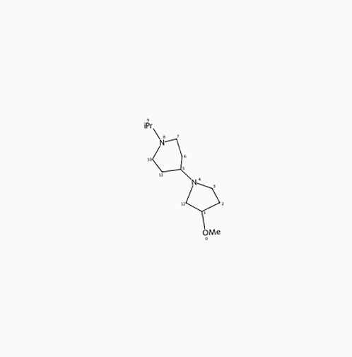 COC1CCN(C2CCN(C(C)C)CC2)C1